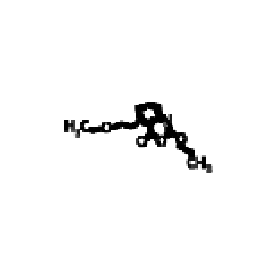 CCCCCCc1cccc2nc(OCCC)oc(=O)c12